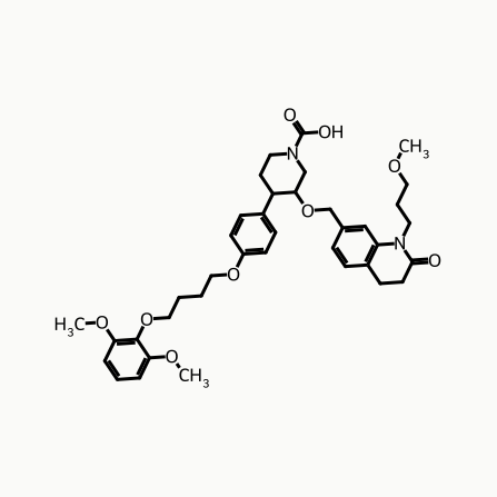 COCCCN1C(=O)CCc2ccc(COC3CN(C(=O)O)CCC3c3ccc(OCCCCOc4c(OC)cccc4OC)cc3)cc21